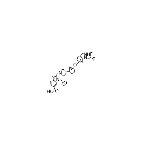 O=C(O)c1ccc2nc(CN3CCC(c4cccc(OCc5ccc6c(n5)N(CC(F)F)NC6)n4)CC3)n(CC3CCO3)c2c1